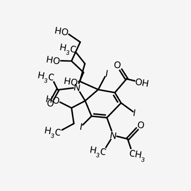 CCC(O)C1(I)C(C(=O)O)=C(I)C(N(C)C(C)=O)=C(I)C1(C(O)CC)N(CC(O)CO)C(C)=O